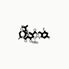 CCCCOc1c2n(cc(C(=O)NCc3c(F)cc(F)cc3F)c1=O)[C@@H]1CN(C2=O)[C@@H](C)CC[C@@]12ON=C(C)[C@H]2F